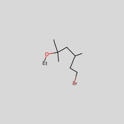 CCOC(C)(C)CC(C)CCBr